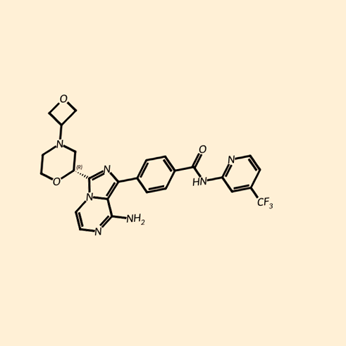 Nc1nccn2c([C@H]3CN(C4COC4)CCO3)nc(-c3ccc(C(=O)Nc4cc(C(F)(F)F)ccn4)cc3)c12